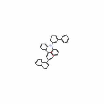 C1=C(c2ccccc2)C=C(N(c2ccccc2)c2ccccc2-c2cccc(-c3cccc4ccccc34)c2)CC1